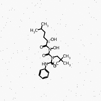 CC(C)CC[C@H](O)C(=O)N(O)C(=O)N(CC(C)(C)C)C(=O)Nc1ccccc1